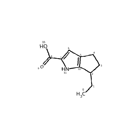 CCC1CCc2cc(C(=O)O)[nH]c21